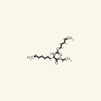 C=CCCCCC[C@H](NC(=O)OCCCC=C)C(=O)OCC